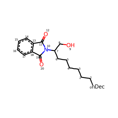 CCCCCCCCCCCCCCCCC(CO)N1C(=O)c2ccccc2C1=O